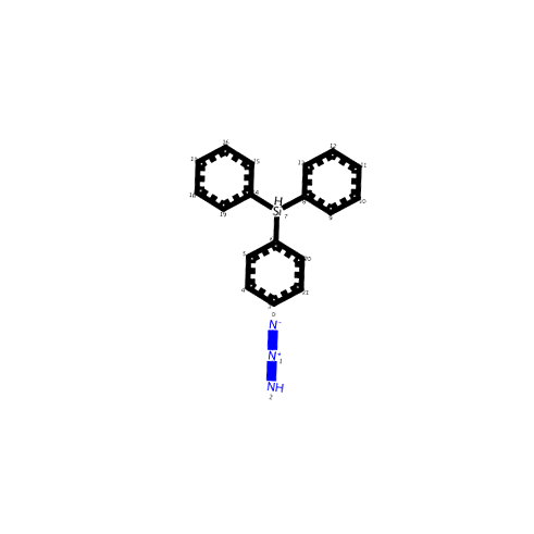 [N-]=[N+]=N.c1ccc([SiH](c2ccccc2)c2ccccc2)cc1